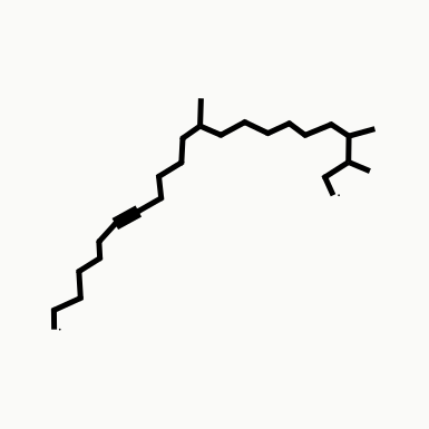 [CH2]CCCCCC#CCCCCC(C)CCCCCCC(C)C(C)C[CH2]